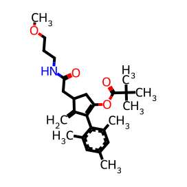 C=C1C(c2c(C)cc(C)cc2C)=C(OC(=O)C(C)(C)C)CC1CC(=O)NCCCOC